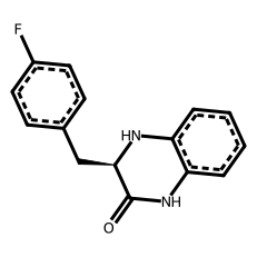 O=C1Nc2ccccc2N[C@@H]1Cc1ccc(F)cc1